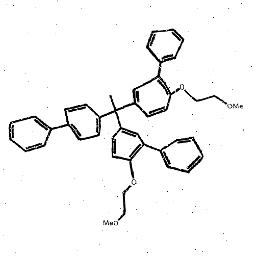 COCCOc1ccc(C(C)(c2ccc(-c3ccccc3)cc2)c2ccc(OCCOC)c(-c3ccccc3)c2)cc1-c1ccccc1